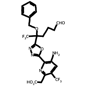 Nc1cc(C(F)(F)F)c(CC(=O)O)nc1-c1nnc(C(CCCC=O)(OCc2ccccc2)C(F)(F)F)o1